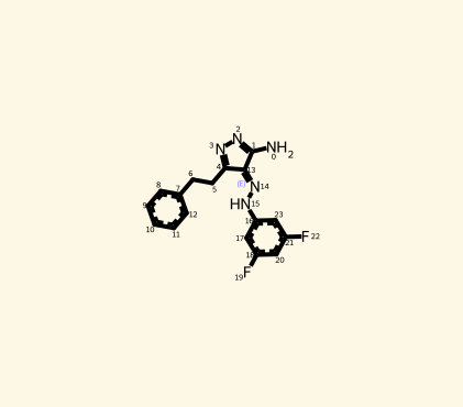 NC1=NN=C(CCc2ccccc2)/C1=N\Nc1cc(F)cc(F)c1